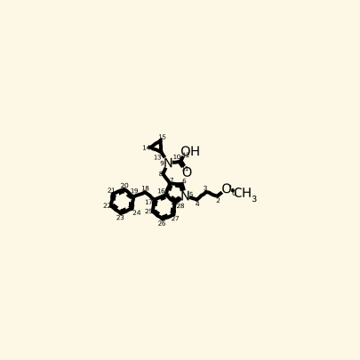 COCCCn1cc(CN(C(=O)O)C2CC2)c2c(Cc3ccccc3)cccc21